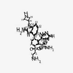 NCCS(=O)(=O)c1ccc(-c2cccc3c2nc(N)n3C2CNC2)c(-c2nn[nH]n2)c1S(N)(=O)=O